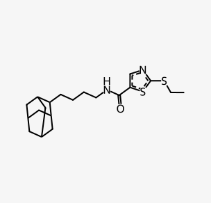 CCSc1ncc(C(=O)NCCCCC2C3CC4CC(C3)CC2C4)s1